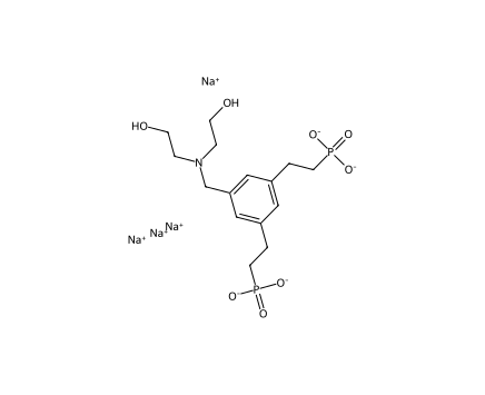 O=P([O-])([O-])CCc1cc(CCP(=O)([O-])[O-])cc(CN(CCO)CCO)c1.[Na+].[Na+].[Na+].[Na+]